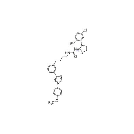 CC(C)c1ccc(Cl)cc1N1CCS/C1=N\C(=O)NCCCCc1cccc(-c2ncn(-c3ccc(OC(F)(F)F)cc3)n2)c1